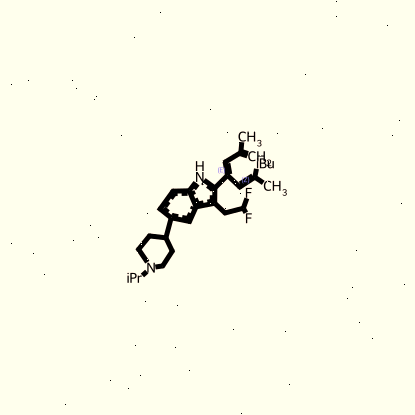 C=C(C)/C=C(\C=C(\C)C(C)CC)c1[nH]c2ccc(C3CCN(C(C)C)CC3)cc2c1CC(F)F